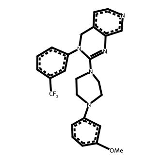 COc1cccc(N2CCN(C3=Nc4cnccc4[CH]N3c3cccc(C(F)(F)F)c3)CC2)c1